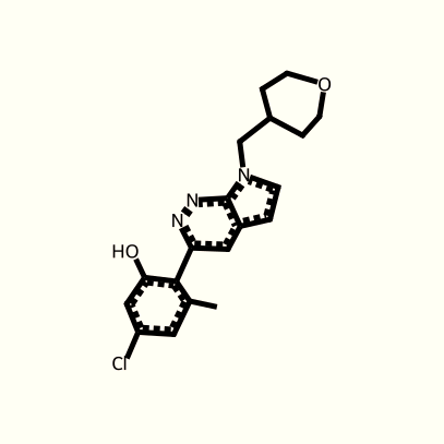 Cc1cc(Cl)cc(O)c1-c1cc2ccn(CC3CCOCC3)c2nn1